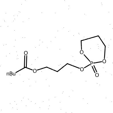 CCCCC(=O)OCCCOP1(=O)OCCCO1